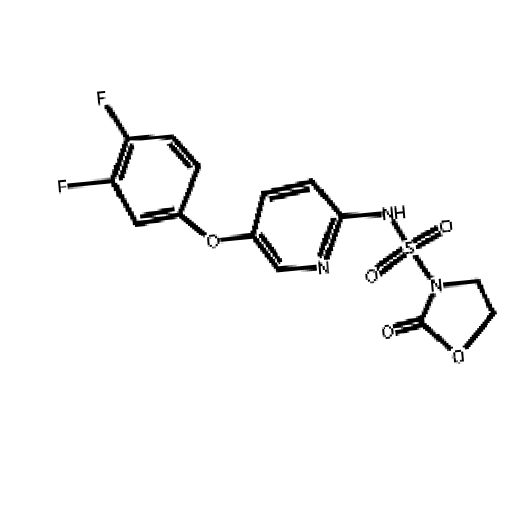 O=C1OCCN1S(=O)(=O)Nc1ccc(Oc2ccc(F)c(F)c2)cn1